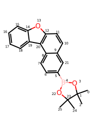 CC1(C)OB(c2ccc3c(ccc4oc5ccccc5c43)c2)OC1(C)C